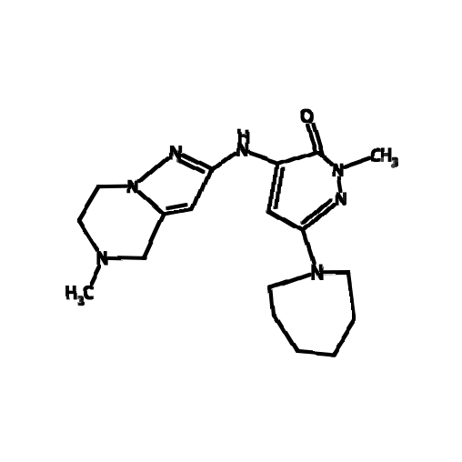 CN1CCn2nc(Nc3cc(N4CCCCCC4)nn(C)c3=O)cc2C1